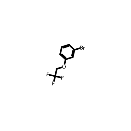 FC(F)(F)COc1cccc(Br)c1